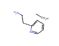 CC(=O)O.NCCc1ccccn1